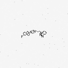 Fc1ccc2cc(N3CCN(CCCn4nnc5ccccc54)CC3)oc2c1